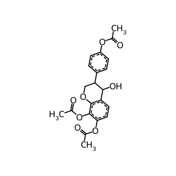 CC(=O)Oc1ccc(C2COc3c(ccc(OC(C)=O)c3OC(C)=O)C2O)cc1